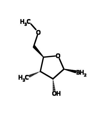 B[C@@H]1O[C@H](COC)[C@@H](C)[C@H]1O